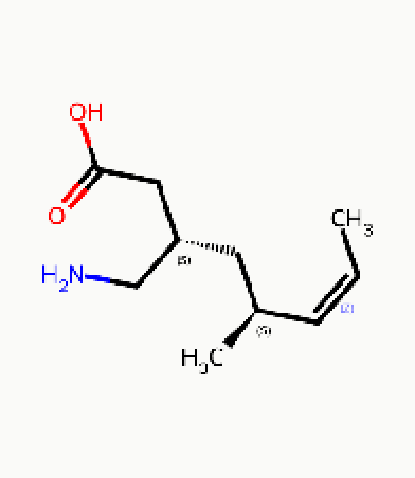 C/C=C\[C@@H](C)C[C@H](CN)CC(=O)O